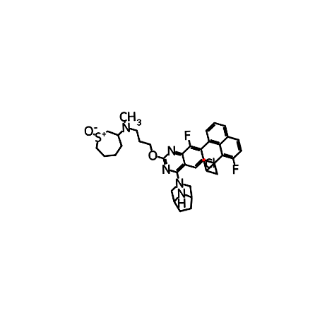 CN(CCCOc1nc(N2CC3CCC(C2)N3)c2cc(Cl)c(-c3cccc4ccc(F)c(C56CC5C6)c34)c(F)c2n1)C1CCCC[S+]([O-])C1